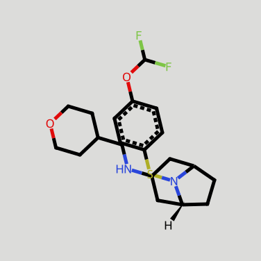 FC(F)Oc1ccc(SN2C3CC[C@@H]2CC(NCC2CCOCC2)C3)cc1